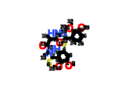 COc1cccc(C(=S)N(C)NC(=O)C(C)C(=O)NN(C)C(=S)c2cccc(OC)c2OC)c1OC